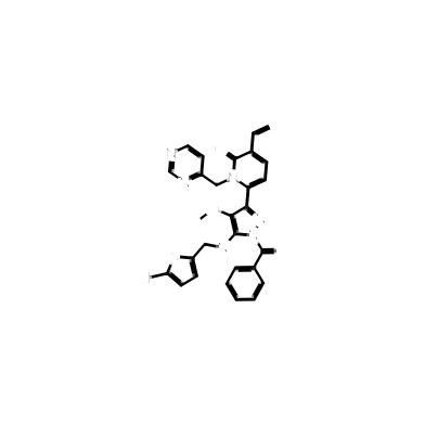 C=Cc1ccc(-c2nn(C(=O)c3ccccc3)c(NCc3ccc(Cl)s3)c2OC)n(Cc2ccncn2)c1=O